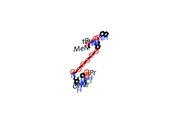 CN[C@@H](C)C(=O)N[C@H](C(=O)N1Cc2cc(OCCOCCOCCOCCOCCC(=O)N(C)CCc3cc(OC)c(Nc4ncc(Cl)c(Nc5ccccc5S(=O)(=O)C(C)C)n4)cc3C)ccc2C[C@H]1C(=O)N[C@H]1CCCc2ccccc21)C(C)(C)C